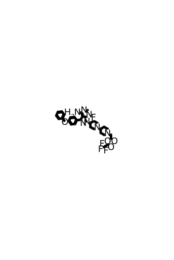 Nc1ncnc2c1c(-c1ccc(Oc3ccccc3)cc1)nn2C1CCN(C2CCN(CC(=O)OC(=O)C(F)(F)F)CC2)CC1F